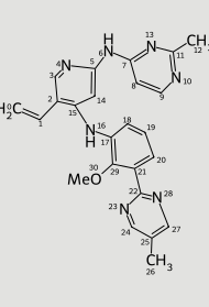 C=Cc1cnc(Nc2ccnc(C)n2)cc1Nc1cccc(-c2ncc(C)cn2)c1OC